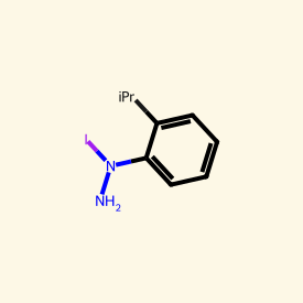 CC(C)c1ccccc1N(N)I